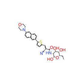 CC[C@H]1OC(O)[C@H](NC(=O)/C(C#N)=C/c2ccc(-c3ccc4cc(N5CCOCC5)ccc4c3)s2)[C@@H](O)[C@@H]1O